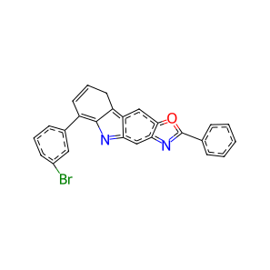 Brc1cccc(C2=C3N=c4cc5nc(-c6ccccc6)oc5cc4=C3CC=C2)c1